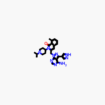 Cc1cccc2cc(Cn3nc(-c4cn[nH]c4)c4c(N)ncnc43)n(C3CCN(C(C)C)CC3)c(=O)c12